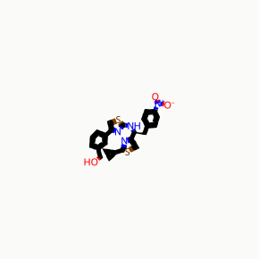 O=[N+]([O-])c1ccc(C[C@H](Nc2nc(-c3cccc(CO)c3)cs2)c2csc(C3CC3)n2)cc1